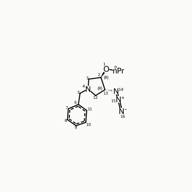 CCCO[C@@H]1CN(Cc2ccccc2)C[C@H]1N=[N+]=[N-]